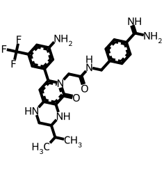 CC(C)C1CNc2cc(-c3cc(N)cc(C(F)(F)F)c3)n(CC(=O)NCc3ccc(C(=N)N)cc3)c(=O)c2N1